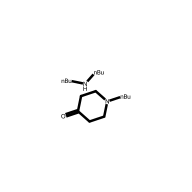 CCCCN1CCC(=O)CC1.CCCCNCCCC